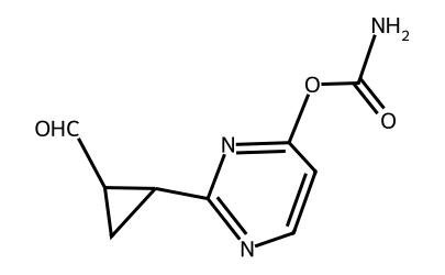 NC(=O)Oc1ccnc(C2CC2C=O)n1